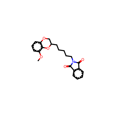 COc1cccc2c1OC(CCCCCN1C(=O)c3ccccc3C1=O)CO2